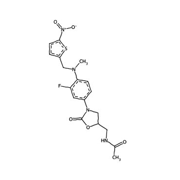 CC(=O)NCC1CN(c2ccc(N(C)Cc3ccc([N+](=O)[O-])s3)c(F)c2)C(=O)O1